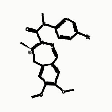 COc1cc2c(cc1OC)C[C@H](C)N(C(=O)N(C)c1ccc(Br)cc1)N=C2